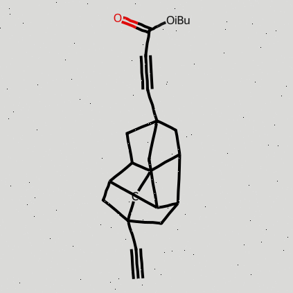 C#CC12CC3C4CC5(C#CC(=O)OCC(C)C)CC3C(C1)C(C5)C4C2